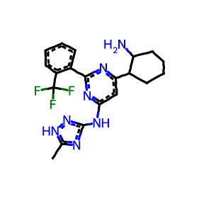 Cc1nc(Nc2cc(C3CCCCC3N)nc(-c3ccccc3C(F)(F)F)n2)n[nH]1